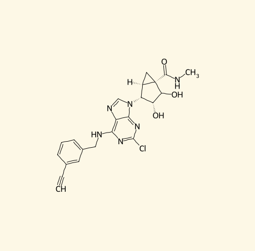 C#Cc1cccc(CNc2nc(Cl)nc3c2ncn3[C@@H]2[C@H]3C[C@@]3(C(=O)NC)C(O)[C@@H]2O)c1